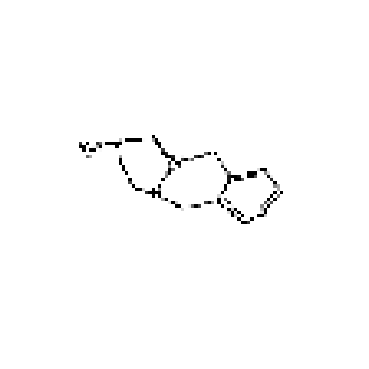 NC1CN2Cc3ccccc3CN2C1